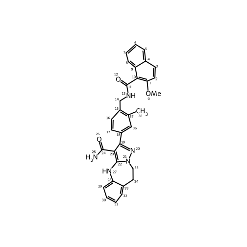 COc1ccc2ccccc2c1C(=O)NCc1ccc(-c2nn3c(c2C(N)=O)Nc2ccccc2CC3)cc1C